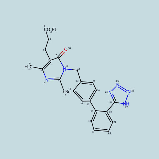 CCCCc1nc(C)c(CCC(=O)OCC)c(=O)n1Cc1ccc(-c2ccccc2-c2nnn[nH]2)cc1